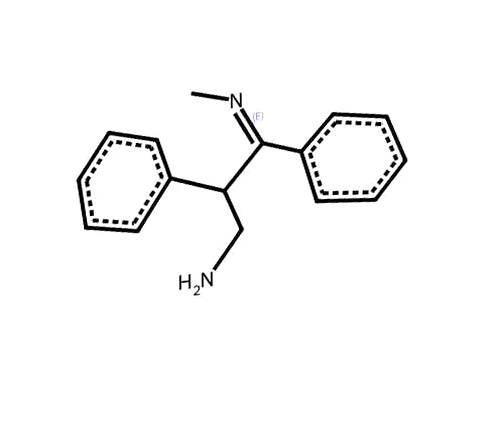 C/N=C(/c1ccccc1)C(CN)c1ccccc1